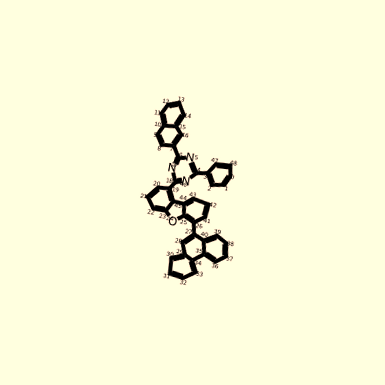 c1ccc(-c2nc(-c3ccc4ccccc4c3)nc(-c3cccc4oc5c(-c6cc7ccccc7c7ccccc67)cccc5c34)n2)cc1